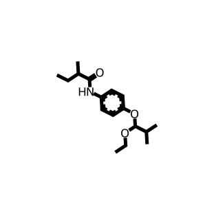 CCOC(Oc1ccc(NC(=O)C(C)CC)cc1)C(C)C